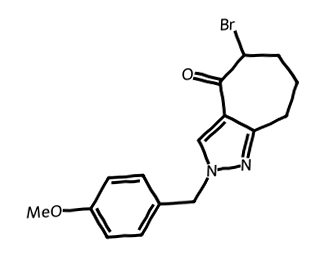 COc1ccc(Cn2cc3c(n2)CCCC(Br)C3=O)cc1